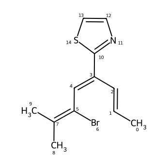 C/C=C/C(=C\C(Br)=C(C)C)c1nccs1